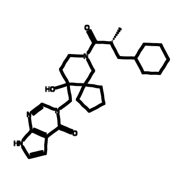 C[C@H](CC1CCCCC1)C(=O)N1CCC(O)(Cn2cnc3[nH]ccc3c2=O)C2(CCCC2)C1